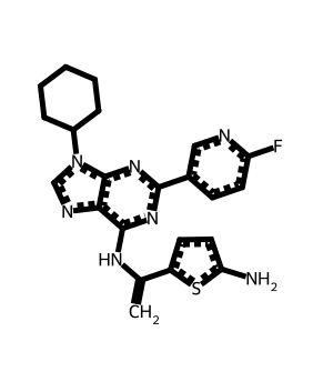 C=C(Nc1nc(-c2ccc(F)nc2)nc2c1ncn2C1CCCCC1)c1ccc(N)s1